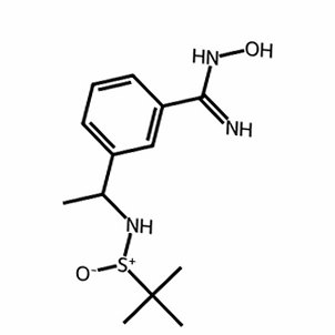 CC(N[S+]([O-])C(C)(C)C)c1cccc(C(=N)NO)c1